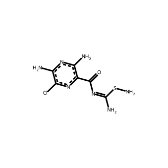 NS/C(N)=N\C(=O)c1nc(Cl)c(N)nc1N